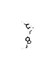 CN(CCCOc1ccc2c(c1)CC[C@H]2CC(=O)O)c1nc(Cl)c(C#N)cc1F